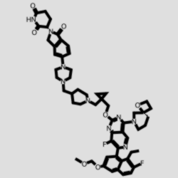 CCc1c(F)ccc2cc(OCOC)cc(-c3ncc4c(N5CCC[C@]6(CCO6)C5)nc(OCC5(CN6CCC(CN7CCN(c8ccc9c(c8)CN([C@H]8CCC(=O)NC8=O)C9=O)CC7)CC6)CC5)nc4c3F)c12